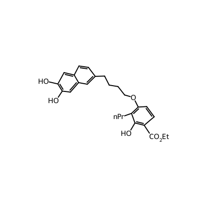 CCCc1c(OCCCCc2ccc3cc(O)c(O)cc3c2)ccc(C(=O)OCC)c1O